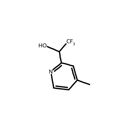 Cc1ccnc(C(O)C(F)(F)F)c1